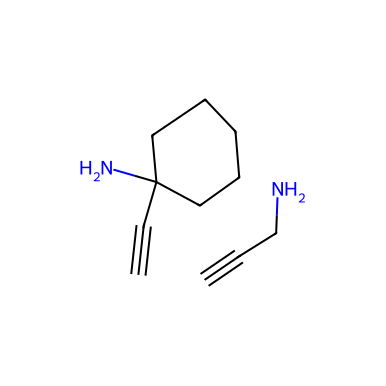 C#CC1(N)CCCCC1.C#CCN